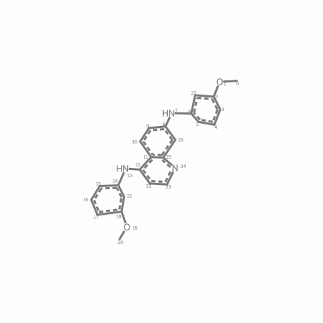 COc1cccc(Nc2ccc3c(Nc4cccc(OC)c4)ccnc3c2)c1